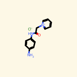 Nc1ccc(NC(=O)C[n+]2ccccc2)cc1.[Cl-]